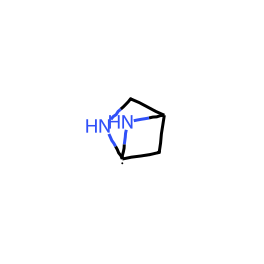 C1N[C]2CC1N2